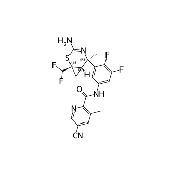 Cc1cc(C#N)cnc1C(=O)Nc1cc(F)c(F)c([C@]2(C)N=C(N)S[C@@]3(C(F)F)C[C@@H]23)c1